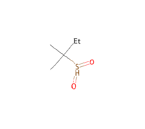 [CH2]CC(C)(C)[SH](=O)=O